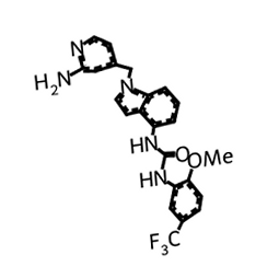 COc1ccc(C(F)(F)F)cc1NC(=O)Nc1cccc2c1ccn2Cc1ccnc(N)c1